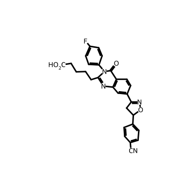 N#Cc1ccc(C2CC(c3ccc4c(=O)n(-c5ccc(F)cc5)c(CCCCC(=O)O)nc4c3)=NO2)cc1